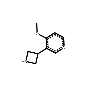 COc1ccncc1C1CNC1